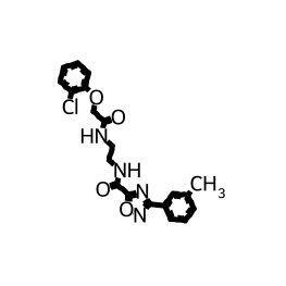 Cc1cccc(-c2noc(C(=O)NCCNC(=O)COc3ccccc3Cl)n2)c1